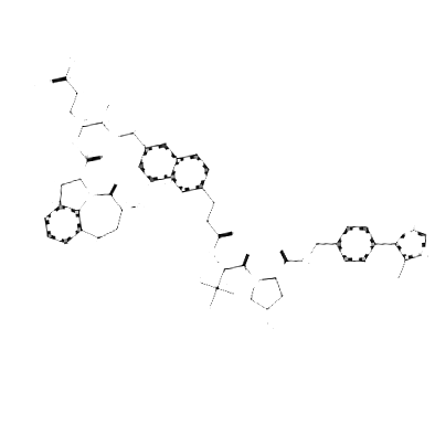 Cc1ncsc1-c1ccc(CNC(=O)[C@H]2C[C@H](O)CN2C(=O)[C@H](NC(=O)CCc2ccc3cc(CO[C@H](C)[C@H](CCC(N)=O)NC(=O)[C@@H]4Cc5cccc6c5N4C(=O)[C@@H](N)CC6)ccc3c2)C(C)(C)C)cc1